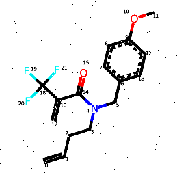 C=CCCN(Cc1ccc(OC)cc1)C(=O)C(=C)C(F)(F)F